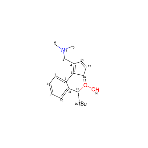 CN(C)CC1=C(c2ccccc2C(OO)C(C)(C)C)CC=C1